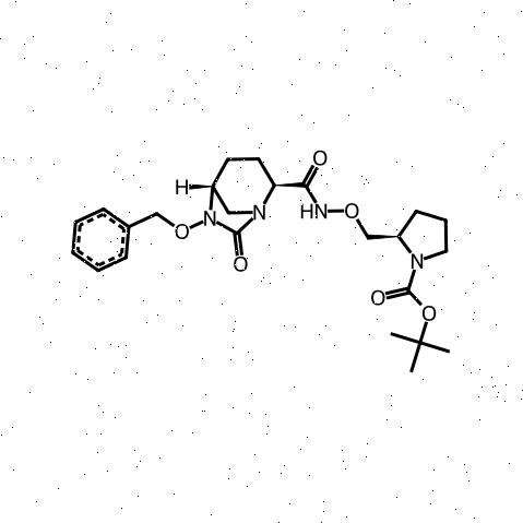 CC(C)(C)OC(=O)N1CCC[C@@H]1CONC(=O)[C@@H]1CC[C@@H]2CN1C(=O)N2OCc1ccccc1